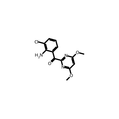 COc1cc(OC)nc(C(=O)c2cccc(Cl)c2N)n1